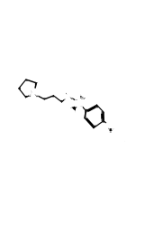 COc1ccc(S(=O)(=O)NCCCN2CCCC2)cc1.Cl